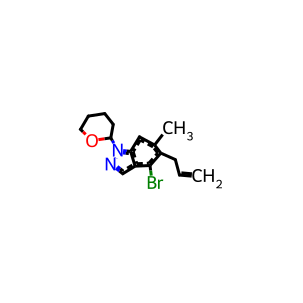 C=CCc1c(C)cc2c(cnn2C2CCCCO2)c1Br